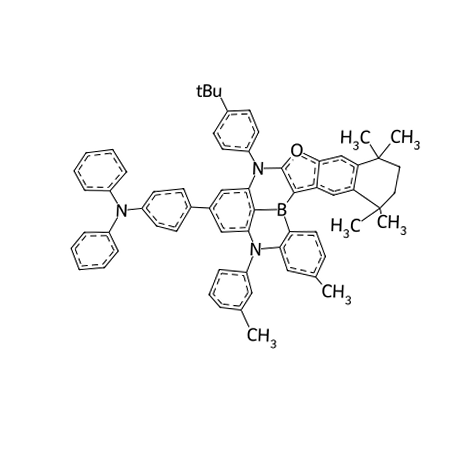 Cc1cccc(N2c3cc(C)ccc3B3c4c2cc(-c2ccc(N(c5ccccc5)c5ccccc5)cc2)cc4N(c2ccc(C(C)(C)C)cc2)c2oc4cc5c(cc4c23)C(C)(C)CCC5(C)C)c1